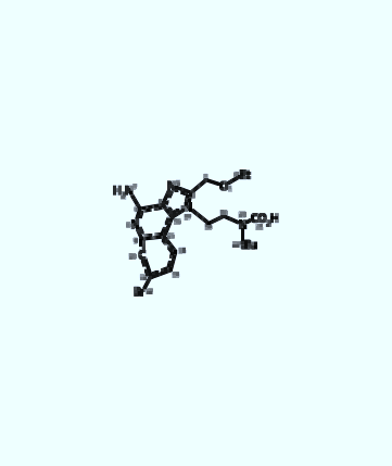 CCOCc1nc2c(N)nc3cc(Br)ccc3c2n1CCN(C(=O)O)C(C)(C)C